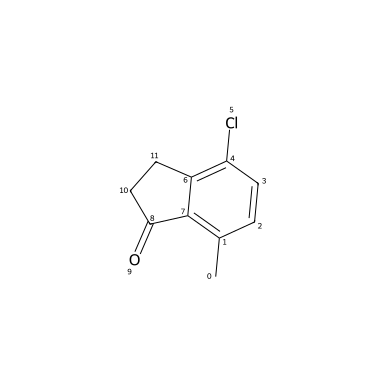 Cc1ccc(Cl)c2c1C(=O)CC2